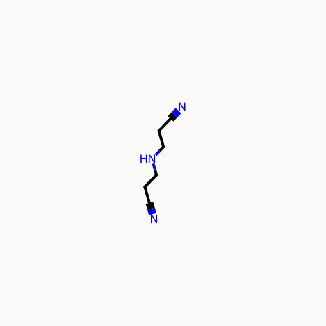 N#CCCNCCC#N